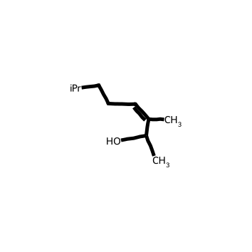 CC(=CCCC(C)C)C(C)O